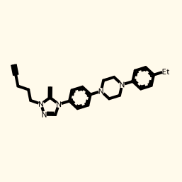 C#CCCCN1N=CN(c2ccc(N3CCN(c4ccc(CC)cc4)CC3)cc2)C1=C